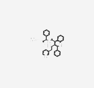 COC(=O)C(NC(=O)c1c(CCc2cccnc2)c(-c2ccccc2)nc2ccccc12)c1ccccc1